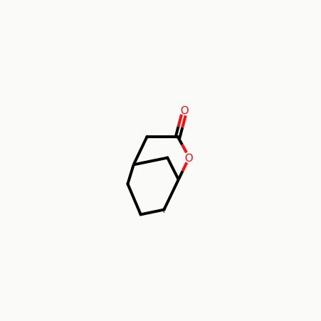 O=C1CC2CC[CH]C(C2)O1